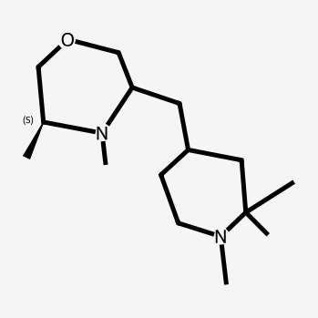 C[C@H]1COCC(CC2CCN(C)C(C)(C)C2)N1C